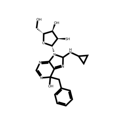 OC[C@H]1O[C@@H](N2C3=NC=NC(O)(Cc4ccccc4)C3=NC2NC2CC2)[C@H](S)[C@@H]1O